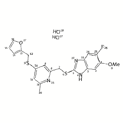 COc1cc2[nH]c(SCc3cc(SCc4ccco4)cc(C)n3)nc2cc1F.Cl.Cl